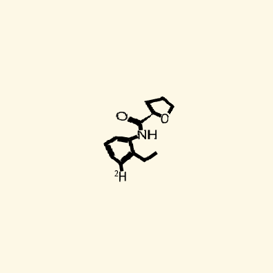 [2H]c1cccc(NC(=O)[C@H]2CCCO2)c1CC